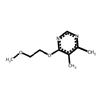 COCCOc1ncnc(C)c1C